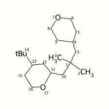 CC(C)(CC1CCOCC1)CC1CC(C(C)(C)C)CCO1